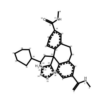 C=C(NC)c1ccc2c(c1)CCc1cc(C(=O)NC)ccc1C2(C[C@@H](N)C1CCCCC1)c1nnn[nH]1